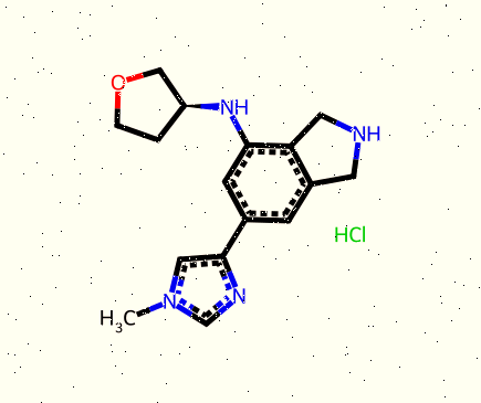 Cl.Cn1cnc(-c2cc3c(c(N[C@H]4CCOC4)c2)CNC3)c1